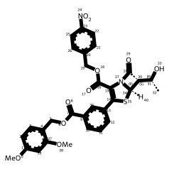 COc1ccc(COC(=O)c2cccc(C3=C(C(=O)OCc4ccc([N+](=O)[O-])cc4)N4C(=O)[C@H]([C@@H](C)O)[C@H]4S3)c2)c(OC)c1